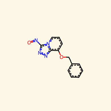 O=Nc1nnc2c(OCc3ccccc3)cccn12